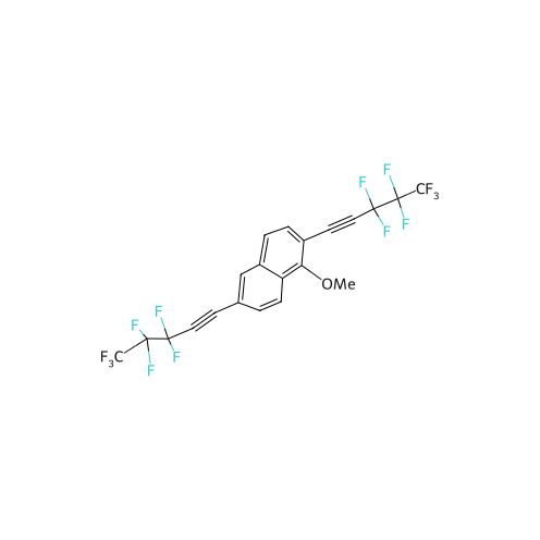 COc1c(C#CC(F)(F)C(F)(F)C(F)(F)F)ccc2cc(C#CC(F)(F)C(F)(F)C(F)(F)F)ccc12